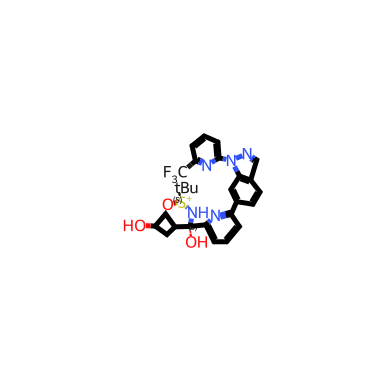 CC(C)(C)[S@@+]([O-])N[C@@](O)(c1cccc(-c2ccc3cnn(-c4cccc(C(F)(F)F)n4)c3c2)n1)C1CC(O)C1